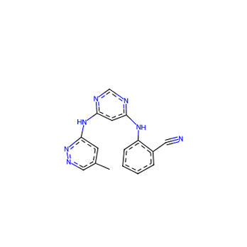 Cc1cnnc(Nc2cc(Nc3ccccc3C#N)ncn2)c1